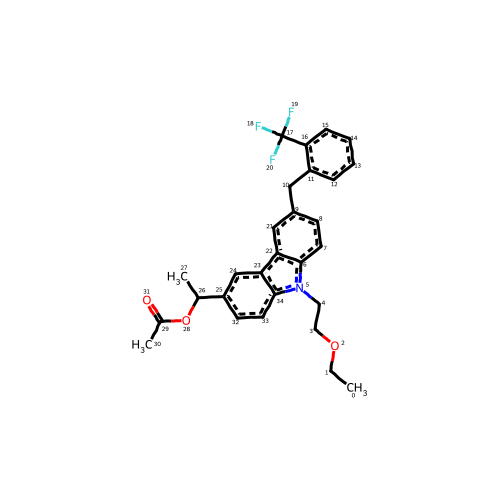 CCOCCn1c2ccc(Cc3ccccc3C(F)(F)F)cc2c2cc(C(C)OC(C)=O)ccc21